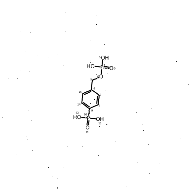 O=P(O)(O)OCc1ccc(P(=O)(O)O)cc1